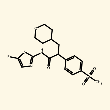 CS(=O)(=O)c1ccc(C(CC2CCOCC2)C(=O)Nc2ncc(F)s2)cc1